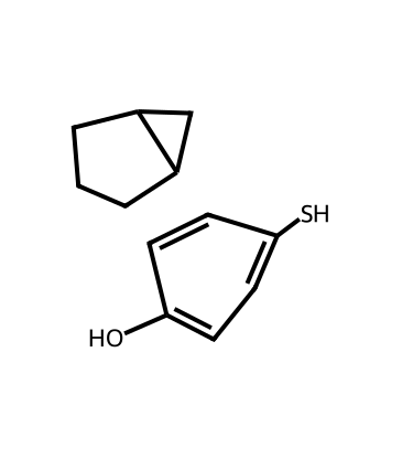 C1CC2CC2C1.Oc1ccc(S)cc1